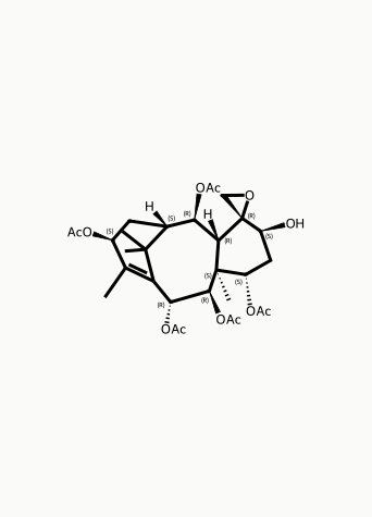 CC(=O)O[C@@H]1[C@H]2C[C@H](OC(C)=O)C(C)=C([C@@H](OC(C)=O)[C@H](OC(C)=O)[C@]3(C)[C@@H](OC(C)=O)C[C@H](O)[C@]4(CO4)[C@@H]13)C2(C)C